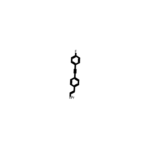 CCCC=Cc1ccc(C#Cc2ccc(F)cc2)cc1